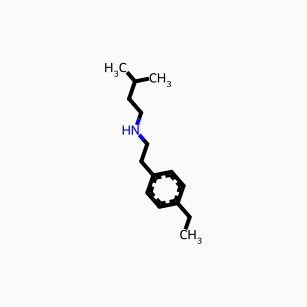 CCc1ccc(CCNCCC(C)C)cc1